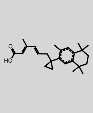 CC(C=CCC1(c2cc3c(cc2C)C(C)(C)CCC3(C)C)CC1)=CC(=O)O